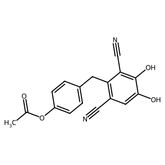 CC(=O)Oc1ccc(Cc2c(C#N)cc(O)c(O)c2C#N)cc1